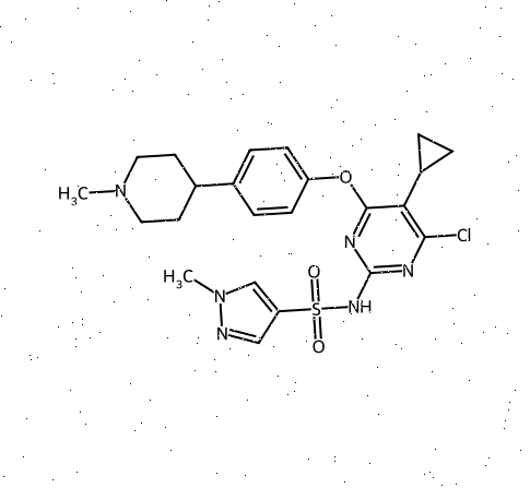 CN1CCC(c2ccc(Oc3nc(NS(=O)(=O)c4cnn(C)c4)nc(Cl)c3C3CC3)cc2)CC1